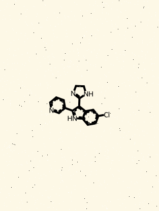 Clc1ccc2[nH]c(-c3cccnc3)c(C3=NCCN3)c2c1